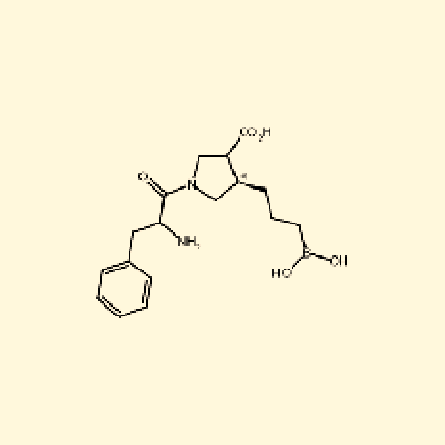 NC(Cc1ccccc1)C(=O)N1CC(C(=O)O)[C@@H](CCCB(O)O)C1